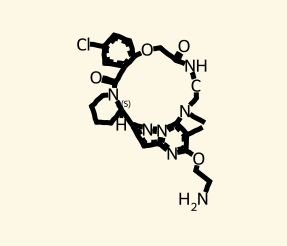 Cc1c(OCCN)nc2cc3nn2c1N(C)CCNC(=O)COc1ccc(Cl)cc1C(=O)N1CCCC[C@@H]31